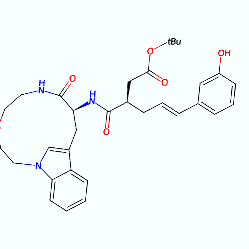 CC(C)(C)OC(=O)C[C@@H](CC=Cc1cccc(O)c1)C(=O)N[C@H]1Cc2cn(c3ccccc23)CCOCCNC1=O